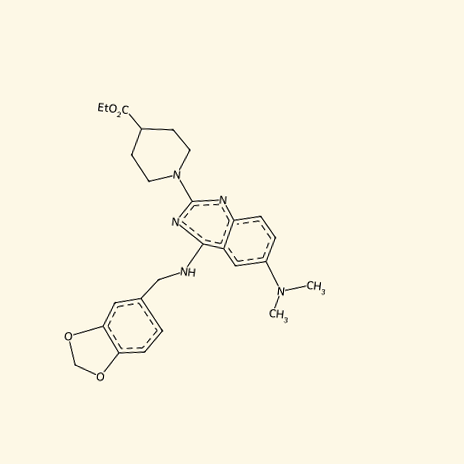 CCOC(=O)C1CCN(c2nc(NCc3ccc4c(c3)OCO4)c3cc(N(C)C)ccc3n2)CC1